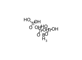 B.[O]=[Ti]([OH])[OH].[O]=[Ti]([OH])[OH].[O]=[Ti]([OH])[OH]